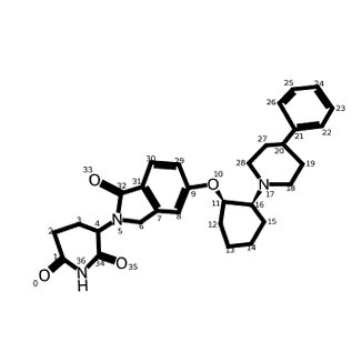 O=C1CCC(N2Cc3cc(O[C@@H]4CCCC[C@@H]4N4CCC(c5ccccc5)CC4)ccc3C2=O)C(=O)N1